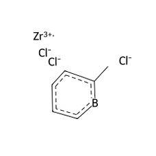 Cc1bcccc1.[Cl-].[Cl-].[Cl-].[Zr+3]